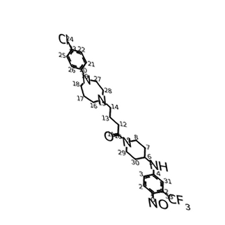 O=Nc1ccc(NC2CCN(C(=O)CCCN3CCCN(c4ccc(Cl)cc4)CC3)CC2)cc1C(F)(F)F